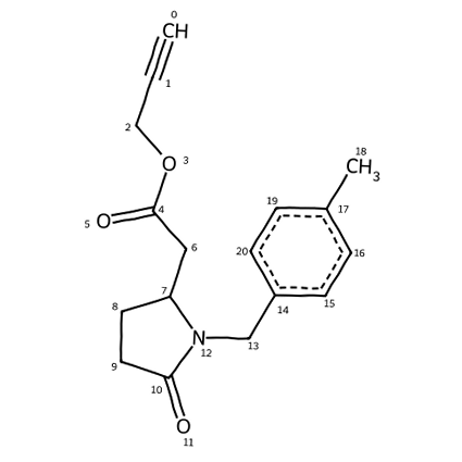 C#CCOC(=O)CC1CCC(=O)N1Cc1ccc(C)cc1